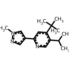 CC(C)c1cnc(-c2cnn(C)c2)cc1C(C)(C)C